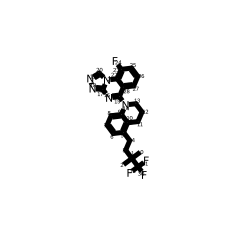 CC(C)(CCc1cccc2c1CCCN2c1nc2nncn2c2c(F)cccc12)C(F)(F)F